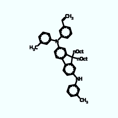 C=Cc1cccc(N(c2cccc(C)c2)c2ccc3c(c2)C(CCCCCCCC)(CCCCCCCC)c2cc(Nc4cccc(C)c4)ccc2-3)c1